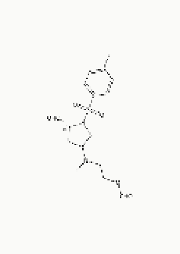 Cc1ccc(S(=O)(=O)N2CC(N(C)CCOC=O)C[C@@H]2C=O)cc1